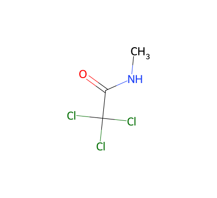 CNC(=O)C(Cl)(Cl)Cl